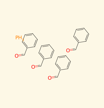 O=Cc1ccccc1.O=Cc1ccccc1.O=Cc1ccccc1.O=Cc1ccccc1.P